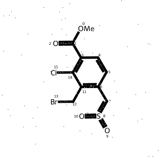 COC(=O)c1ccc(C=S(=O)=O)c(CBr)c1Cl